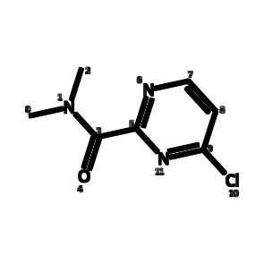 CN(C)C(=O)c1nccc(Cl)n1